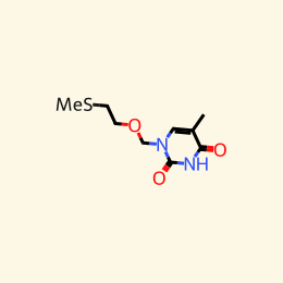 CSCCOCn1cc(C)c(=O)[nH]c1=O